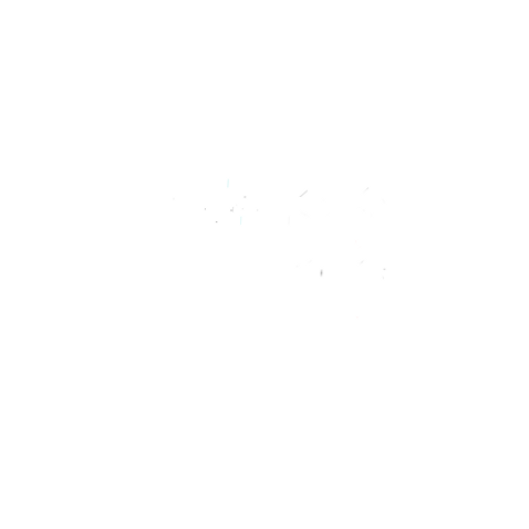 FC(F)(F)CC(F)(F)[C](F)(F)[Sn+2][C](F)(F)C(F)(F)CC(F)(F)F.[O-]CC(c1ccccc1)c1ccccc1.[O-]CC(c1ccccc1)c1ccccc1